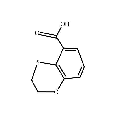 O=C(O)c1cccc2c1SCCO2